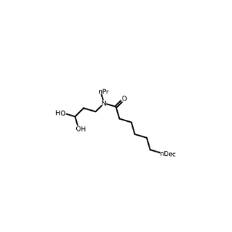 CCCCCCCCCCCCCCCC(=O)N(CCC)CCC(O)O